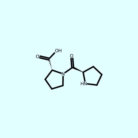 O=C(O)[C@H]1CCCN1C(=O)[C@H]1CCCN1